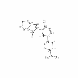 CCC(=O)N1CCN(c2ncc(Cl)c(-c3nc4ccccc4n3C)n2)CC1